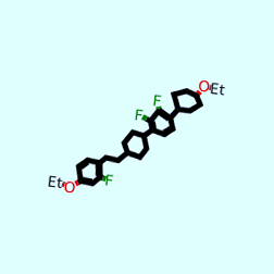 CCOc1ccc(CCC2CCC(c3ccc(C4CCC(OCC)CC4)c(F)c3F)CC2)c(F)c1